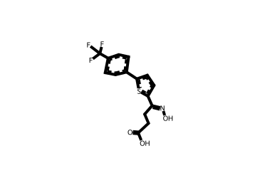 O=C(O)CCC(=NO)c1ccc(-c2ccc(C(F)(F)F)cc2)s1